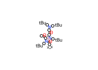 CC(C)(C)c1ccc(N2B3c4oc5cc6c(cc5c4N(c4ccc(C(C)(C)C)cc4)c4cc5c(oc7ccccc75)c(c43)-c3cc4c(cc32)oc2cc(N(c3ccc(C(C)(C)C)cc3)c3ccc(C(C)(C)C)cc3)ccc24)C(C)(C)CCC6(C)C)cc1